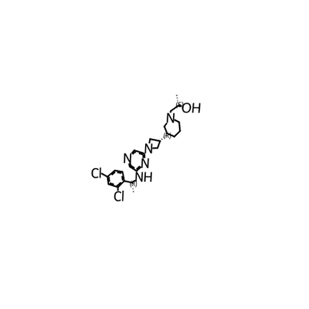 C[C@H](O)CN1CCC[C@H](C2CN(c3cncc(N[C@H](C)c4ccc(Cl)cc4Cl)n3)C2)C1